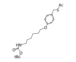 CC(=O)SCc1ccc(OCCCCCCNC(=O)OC(C)(C)C)cc1